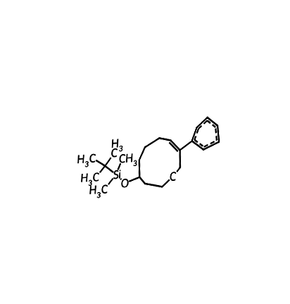 CC(C)(C)[Si](C)(C)OC1CCCC=C(c2ccccc2)CCCC1